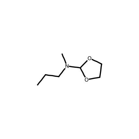 CCCN(C)C1OCCO1